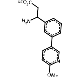 CCOC(=O)CC(N)c1cccc(-c2ccc(OC)nc2)c1